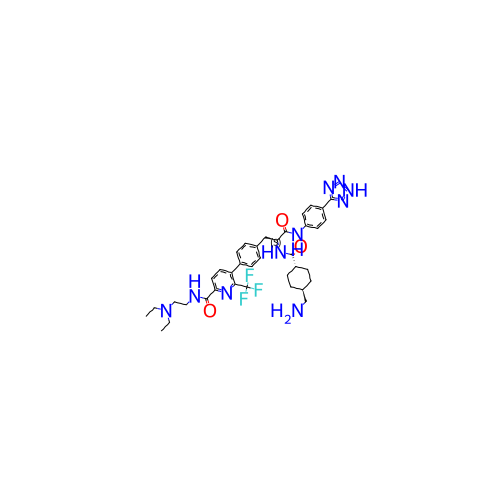 CCN(CC)CCNC(=O)c1ccc(-c2ccc(C[C@H](NC(=O)[C@H]3CC[C@H](CN)CC3)C(=O)Nc3ccc(-c4nn[nH]n4)cc3)cc2)c(C(F)(F)F)n1